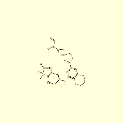 C=CC(=O)N1CC2(CCN(c3nc4c(c(N[C@H](CC5=NC(C)(C)C(=O)N5)CC(C)C)n3)CCCC4)C2)C1